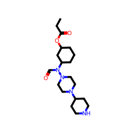 CCC(=O)OC1CCCC(N(C=O)N2CCN(C3CCNCC3)CC2)C1